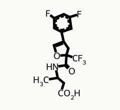 CC(CC(=O)O)NC(=O)C1(C(F)(F)F)CC(c2cc(F)cc(F)c2)=CO1